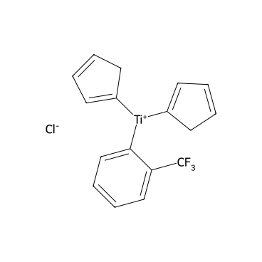 FC(F)(F)c1cccc[c]1[Ti+]([C]1=CC=CC1)[C]1=CC=CC1.[Cl-]